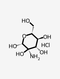 Cl.N[C@]1(O)[C@H](O)O[C@H](CO)[C@@H](O)[C@@H]1O